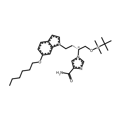 CCCCCCOc1ccc2ccn(CC[C@H](CO[Si](C)(C)C(C)(C)C)n3cnc(C(N)=O)c3)c2c1